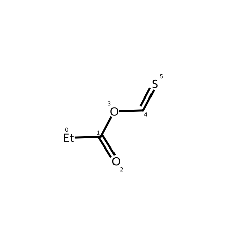 CCC(=O)OC=S